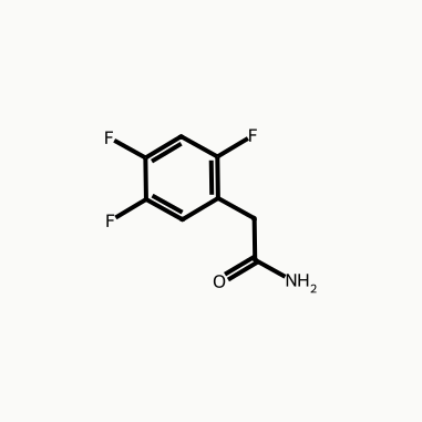 NC(=O)Cc1cc(F)c(F)cc1F